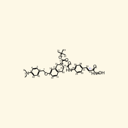 CN(C)c1ccc(COc2ccc3c(c2)CN(C(=O)OC(C)(C)C)[C@H](C(=O)Nc2ccc(/C=C/C(=O)NO)cc2)C3)cc1